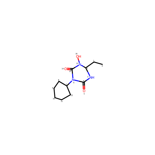 CCC1NC(=O)N(C2CCCCC2)C(=O)N1O